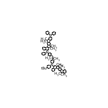 CC(C)(C)c1ccc(N(c2ccc(C(C)(C)Cc3ccc(N(c4ccccc4)c4cc5c(c6ccccc46)-c4cc6c(cc4C5(C)C)-c4ccc(N(c5ccccc5)c5ccccc5)cc4C6(C)C)cc3)cc2)c2cc3c(c4ccccc24)-c2cc4c(cc2C3(C)C)-c2ccccc2C4(C)C)cc1